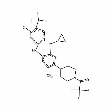 Cc1cc(Nc2ncc(C(F)(F)F)c(Cl)n2)c(OC2CC2)cc1C1CCN(C(=O)C(F)(F)F)CC1